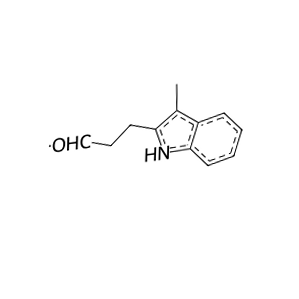 Cc1c(CC[C]=O)[nH]c2ccccc12